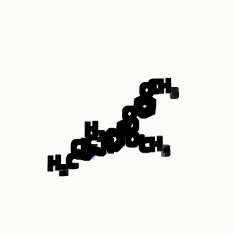 C=C(Cl)/C=C(\C)CN1CCC(CCOc2cccc(OC)c2)(C(=O)OCC)CC1